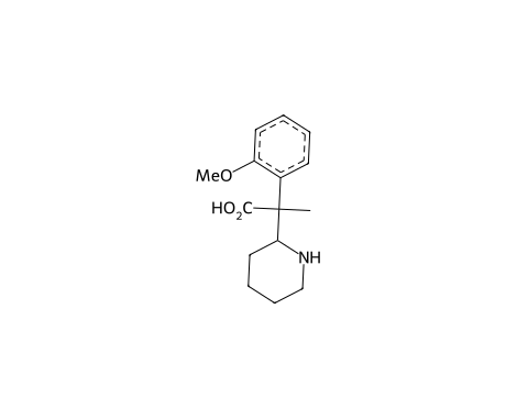 COc1ccccc1C(C)(C(=O)O)C1CCCCN1